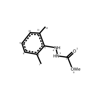 COC(=O)NNc1c(C)cccc1C